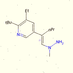 CCC/C(=C\N(C)N)c1cnc(C(C)(C)C)c(CC)c1